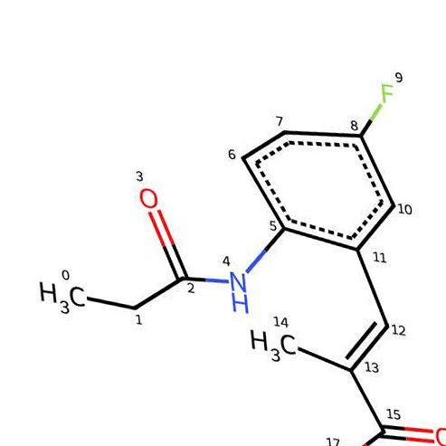 CCC(=O)Nc1ccc(F)cc1C=C(C)C(=O)O